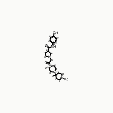 CC(=O)N1CCC(C)(N2CCN(C(=O)CN3CCC(C(=O)Nc4ccc(O)cc4)C3)[C@@H](C)C2)CC1